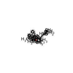 CC(C)C[C@@H](NC(=O)[C@@H](Cc1ccccc1)NC(=O)CN(C[C@H](C)c1ccccc1)C(=O)OC(C)(C)C)C(=O)N[C@H](C)CCCCNC(=O)OC(C)(C)C